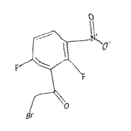 O=C(CBr)c1c(F)ccc([N+](=O)[O-])c1F